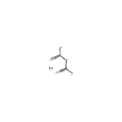 CC(=O)CC(C)=O.[Fe+]